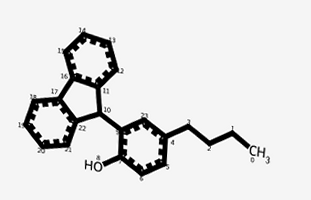 CCCCc1ccc(O)c(C2c3ccccc3-c3ccccc32)c1